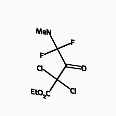 CCOC(=O)C(Cl)(Cl)C(=O)C(F)(F)NC